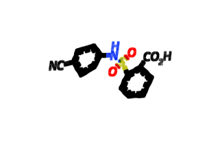 N#Cc1ccc(NS(=O)(=O)c2ccccc2C(=O)O)cc1